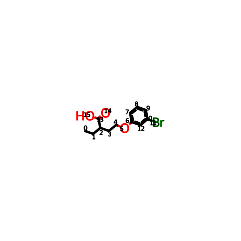 CCC(CCOc1cccc(Br)c1)C(=O)O